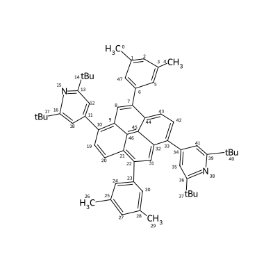 Cc1cc(C)cc(-c2cc3c(-c4cc(C(C)(C)C)nc(C(C)(C)C)c4)ccc4c(-c5cc(C)cc(C)c5)cc5c(-c6cc(C(C)(C)C)nc(C(C)(C)C)c6)ccc2c5c43)c1